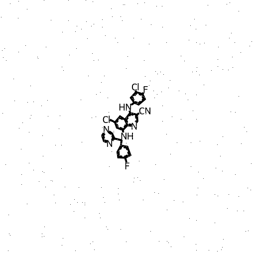 N#Cc1cnc2c(NC(c3ccc(F)cc3)c3cnccn3)cc(Cl)cc2c1Nc1ccc(F)c(Cl)c1